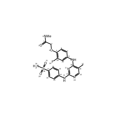 CNC(=O)COc1ccc(Nc2nc(Nc3ccc(S(N)(=O)=O)cc3)ncc2C)cc1F